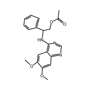 COc1cc2ncnc(NC(COC(C)=O)c3ccccc3)c2cc1OC